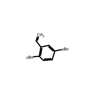 C=Cc1cc(CCCC)ccc1CCCC